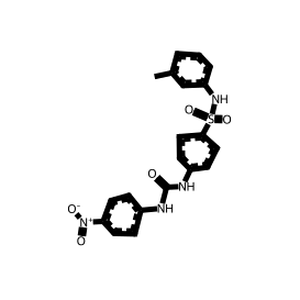 Cc1cccc(NS(=O)(=O)c2ccc(NC(=O)Nc3ccc([N+](=O)[O-])cc3)cc2)c1